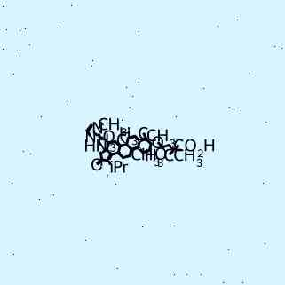 CC(C)C1=C2C3CCC4[C@@](C)(CCC5C(C)(C)[C@@H](OC(=O)CC(C)(C)C(=O)O)CC[C@@]54C)C3CC[C@@]2(NC(=O)c2nccn2C)CC1=O